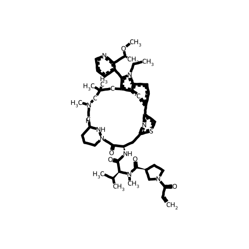 C=CC(=O)N1CC[C@H](C(=O)N(C)[C@H](C(=O)N[C@H]2Cc3nc(cs3)-c3ccc4c(c3)c(c(-c3cccnc3[C@H](C)OC)n4CC)CC(C)(C)CN(C)C[C@@H]3CCCN(N3)C2=O)C(C)C)C1